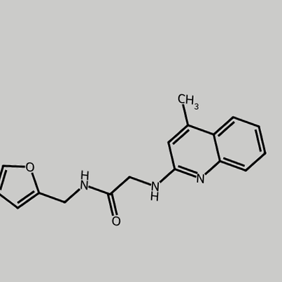 Cc1cc(NCC(=O)NCc2ccco2)nc2ccccc12